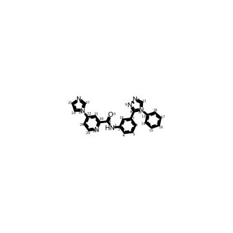 O=C(Nc1cccc(-c2nncn2-c2ccccc2)c1)c1cc(-n2ccnc2)ccn1